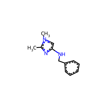 Cc1nc(NCc2ccccc2)cn1C